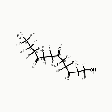 O=C(C(F)(F)C(O)(F)F)C(F)(F)C(F)(F)C(=O)C(F)(F)C(F)(F)C(=O)C(F)(F)C(F)(F)C(F)(F)C(F)(F)F